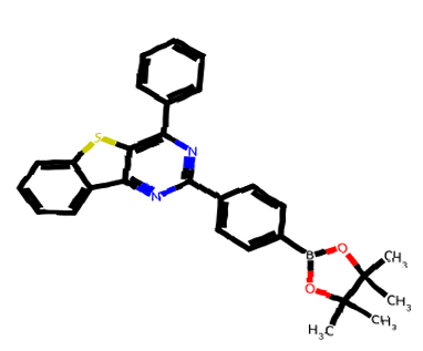 CC1(C)OB(c2ccc(-c3nc(-c4ccccc4)c4sc5ccccc5c4n3)cc2)OC1(C)C